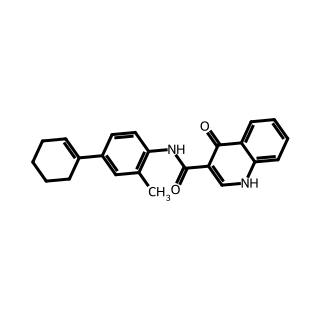 Cc1cc(C2=CCCCC2)ccc1NC(=O)c1c[nH]c2ccccc2c1=O